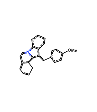 COc1ccc(C=c2c3ccccc3n3ccc4c(c23)CC=CC=4)cc1